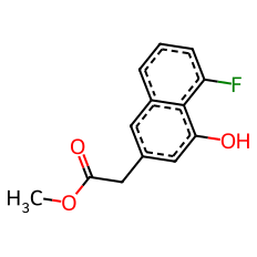 COC(=O)Cc1cc(O)c2c(F)cccc2c1